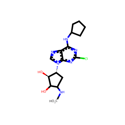 O=C(O)NC1C[C@@H](n2cnc3c(NC4CCCC4)nc(Cl)nc32)[C@H](O)C1O